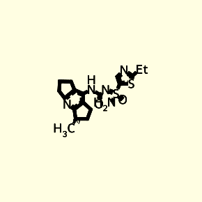 CCc1ncc(S(N)(=O)=NC(=O)Nc2c3c(nc4c2CC[C@H]4C)CCC3)s1